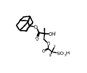 CC(O)(COC(=O)C(F)(F)S(=O)(=O)O)C(=O)OC12CC3CC(CC(C3)C1)C2